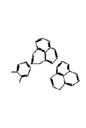 C1=Cc2cccc3cccc(c23)C1.C1=Cc2cccc3cccc(c23)C1.Oc1ccccc1O